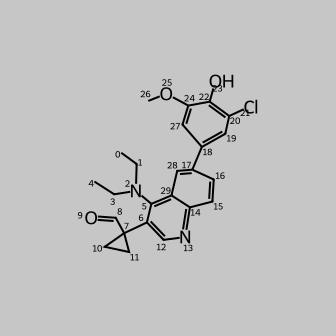 CCN(CC)c1c(C2(C=O)CC2)cnc2ccc(-c3cc(Cl)c(O)c(OC)c3)cc12